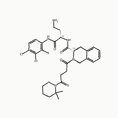 CC1(C)CCCCN1C(=O)CCC(=O)N1Cc2ccccc2C[C@H]1C(=O)N[C@@H](CCN)C(=O)Nc1ccc(Cl)c(Cl)c1F